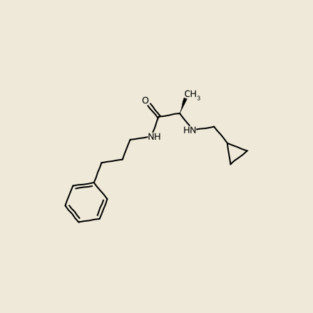 C[C@@H](NCC1CC1)C(=O)NCCCc1ccccc1